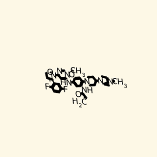 C=CC(=O)Nc1cc(Nc2cc(N3OCC[C@@H]3c3cc(F)ccc3F)ncn2)c(OC)cc1N1CCC(N2CC3CC2CN3C)CC1